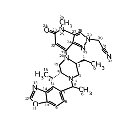 CC[C@H]1CN(C(C)c2ccc3ocnc3c2)[C@H](CC)CN1c1cc(=O)n(C)c2cn(CC#N)nc12